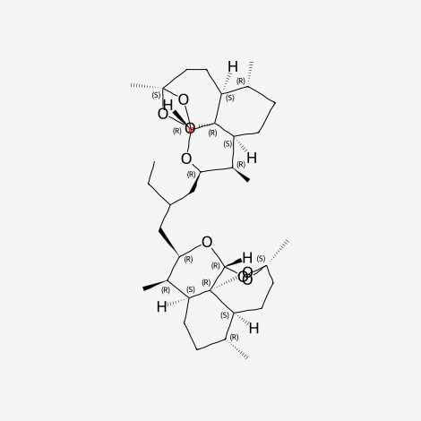 CCC(C[C@H]1O[C@@H]2O[C@]3(C)CC[C@H]4[C@H](C)CC[C@@H]([C@H]1C)[C@@]24OO3)C[C@H]1O[C@@H]2O[C@]3(C)CC[C@H]4[C@H](C)CC[C@@H]([C@H]1C)[C@@]24OO3